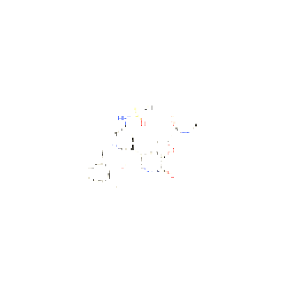 CCNC(=O)c1cc2c(-c3cc(NS(=O)(=O)CC)cnc3Oc3c(C)cccc3C)cn(C)c(=O)c2o1